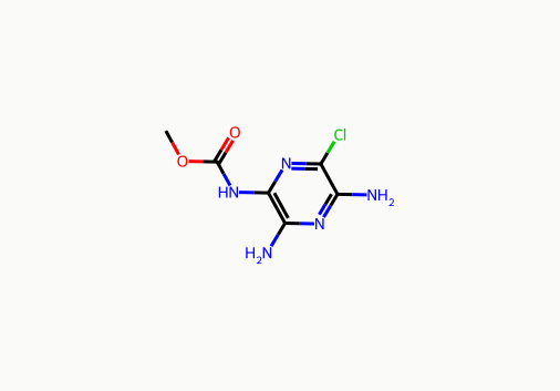 COC(=O)Nc1nc(Cl)c(N)nc1N